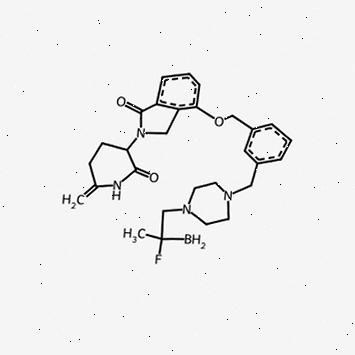 BC(C)(F)CN1CCN(Cc2cccc(COc3cccc4c3CN(C3CCC(=C)NC3=O)C4=O)c2)CC1